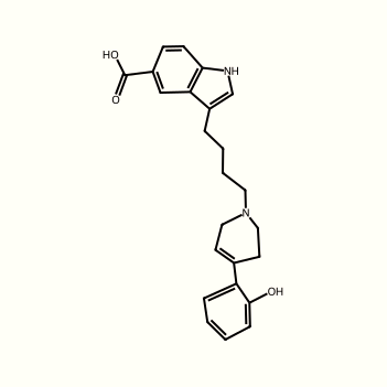 O=C(O)c1ccc2[nH]cc(CCCCN3CC=C(c4ccccc4O)CC3)c2c1